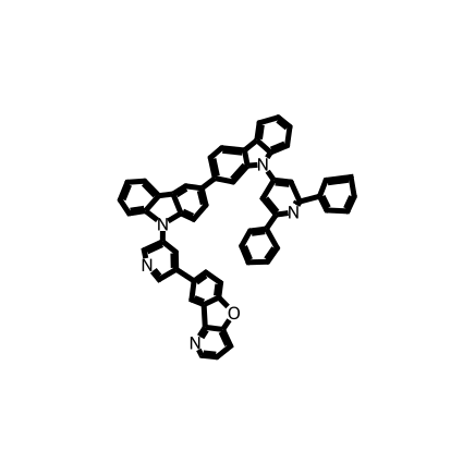 c1ccc(-c2cc(-n3c4ccccc4c4ccc(-c5ccc6c(c5)c5ccccc5n6-c5cncc(-c6ccc7oc8cccnc8c7c6)c5)cc43)cc(-c3ccccc3)n2)cc1